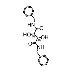 O=C(NCc1ccccc1)[C@H](O)[C@@H](O)C(=O)NCc1ccccc1